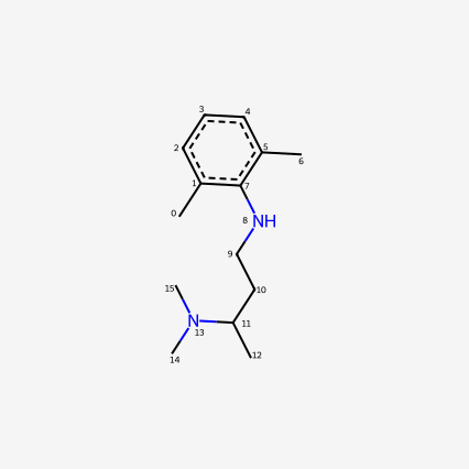 Cc1cccc(C)c1NCCC(C)N(C)C